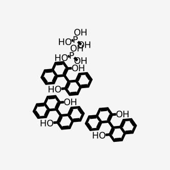 OP(O)O.OP(O)O.Oc1ccc2ccccc2c1-c1c(O)ccc2ccccc12.Oc1ccc2ccccc2c1-c1c(O)ccc2ccccc12.Oc1ccc2ccccc2c1-c1c(O)ccc2ccccc12